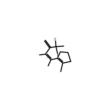 C=C(/C(C)=C(/C)C1=C(C)CCC1)C(C)(F)F